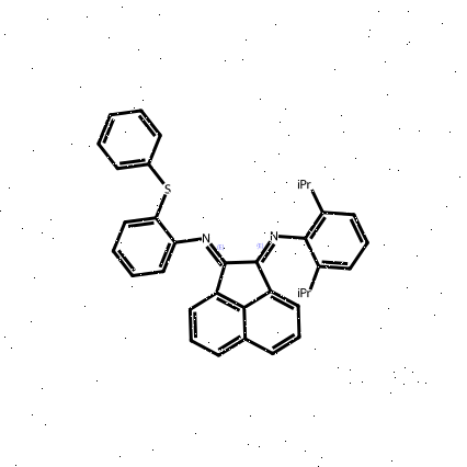 CC(C)c1cccc(C(C)C)c1/N=C1/C(=N/c2ccccc2Sc2ccccc2)c2cccc3cccc1c23